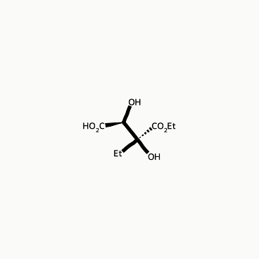 CCOC(=O)[C@](O)(CC)[C@H](O)C(=O)O